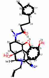 C=CCN1C(C#N)C[C@]23c4c5ccc(O)c4OC2C(N(C)C(=O)CCc2cccc(C)c2)CC[C@@]3(O)[C@H]1C5